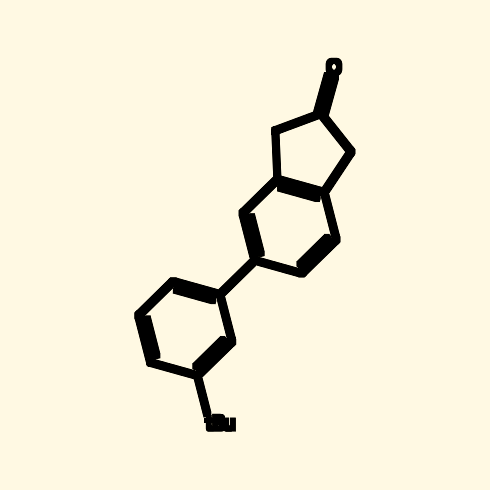 CC(C)(C)c1cccc(-c2ccc3c(c2)CC(=O)C3)c1